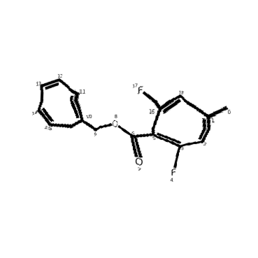 Cc1cc(F)c(C(=O)OCc2ccccc2)c(F)c1